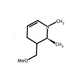 COCC1CC=CN(C)[C@H]1C